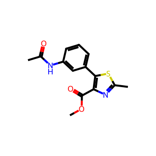 COC(=O)c1nc(C)sc1-c1cccc(NC(C)=O)c1